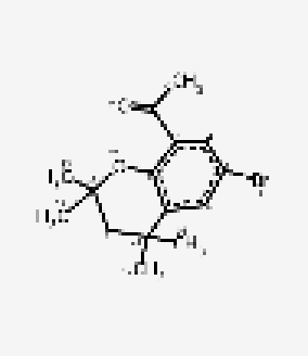 CC(=O)c1cc(Br)cc2c1OC(C)(C)CC2(C)C